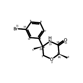 C[C@H]1OC[C@](C)(c2cccc(Br)c2)NC1=O